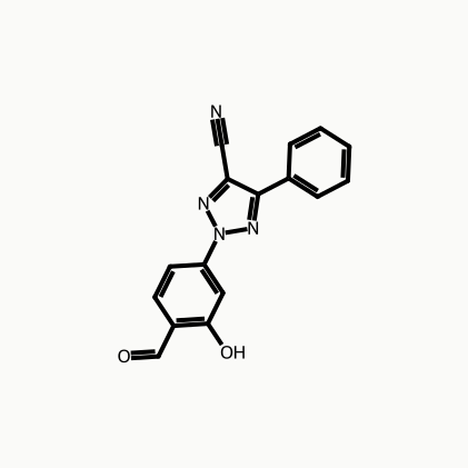 N#Cc1nn(-c2ccc(C=O)c(O)c2)nc1-c1ccccc1